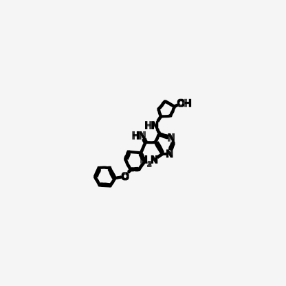 N=C(c1ccc(Oc2ccccc2)cc1)c1c(N)ncnc1NC1CCC(O)C1